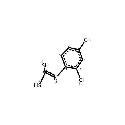 SC(S)=Nc1ccc(Cl)cc1Cl